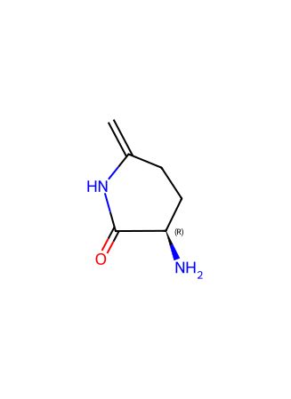 C=C1CC[C@@H](N)C(=O)N1